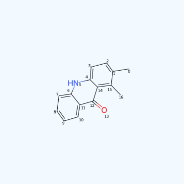 Cc1ccc2[nH]c3ccccc3c(=O)c2c1C